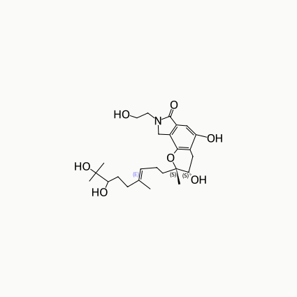 C/C(=C\CC[C@]1(C)Oc2c(c(O)cc3c2CN(CCO)C3=O)C[C@@H]1O)CCC(O)C(C)(C)O